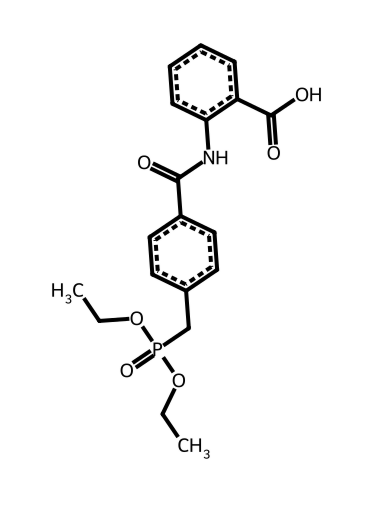 CCOP(=O)(Cc1ccc(C(=O)Nc2ccccc2C(=O)O)cc1)OCC